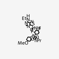 CCCS(=O)(=O)N(Cc1ccc(OC)cc1)c1ccc(F)c(NC(=O)c2snc3c(NCC)ncnc23)c1F